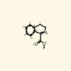 COC(=O)C1=NCCc2ccccc21